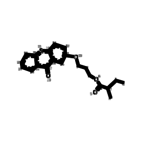 CCC(C)C(=O)OCCCOc1ccc2sc3ccccc3c(=O)c2c1